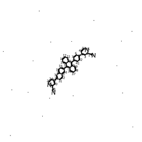 N#Cc1cc(-c2ccc(-c3c4ccccc4c(-c4ccc5cc(-c6ccnc(C#N)c6)ccc5c4)c4ccccc34)cc2)ccn1